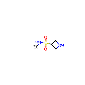 CCNS(=O)(=O)C1CNC1